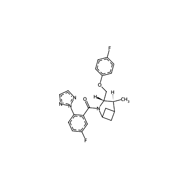 C[C@H]1C2CC(C2)N(C(=O)c2cc(F)ccc2-n2nccn2)[C@@H]1COc1ccc(F)cc1